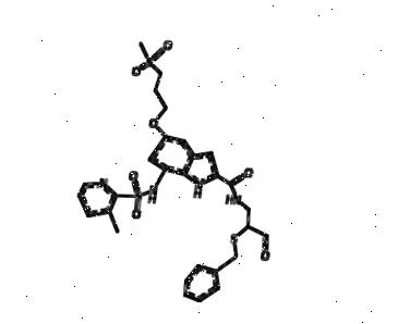 Cc1cccnc1S(=O)(=O)Nc1cc(OCCCS(C)(=O)=O)cc2cc(C(=O)NCC(C=O)SCc3ccccc3)[nH]c12